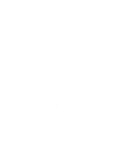 CC#CCOc1cnc2c(Cl)nccc2n1